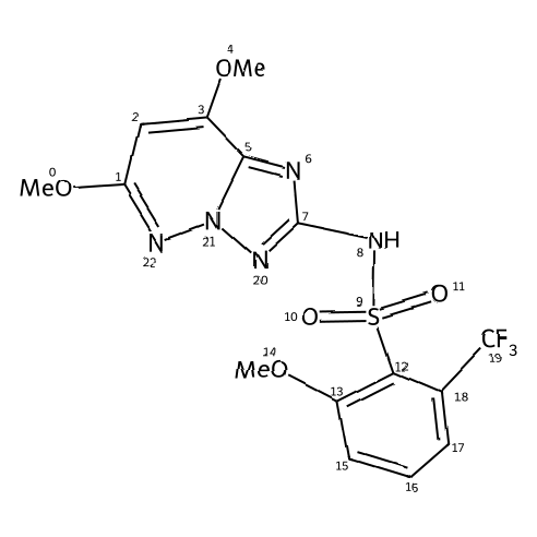 COc1cc(OC)c2nc(NS(=O)(=O)c3c(OC)cccc3C(F)(F)F)nn2n1